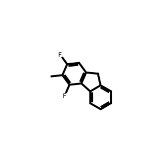 Cc1c(F)cc2c(c1F)-c1ccccc1C2